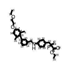 CCOCCOc1cc(C)c(-c2cccc(CNc3ccc(CC(F)(F)C(=O)OCC)cc3)c2)c(C)c1